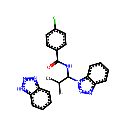 CCC(CC)C(NC(=O)c1ccc(Cl)cc1)n1nnc2ccccc21.c1ccc2[nH]nnc2c1